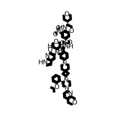 CC(C)Oc1ccccc1[C@@H]1CN(c2ccc3c(n2)COCC3)CCN1C1CC2(CCN(c3ccc(C(=O)NS(=O)(=O)c4cc5c(c([N+](=O)[O-])c4)N[C@H](C4CCOCC4)CO5)c(N4c5cc6cc[nH]c6nc5O[C@H]5COCC[C@@H]54)c3)CC2)C1